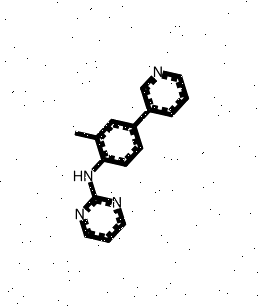 Cc1cc(-c2cccnc2)ccc1Nc1ncccn1